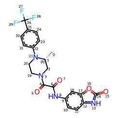 C[C@@H]1CN(C(=O)C(=O)Nc2ccc3[nH]c(=O)oc3c2)CCN1c1ccc(C(F)(F)F)cc1